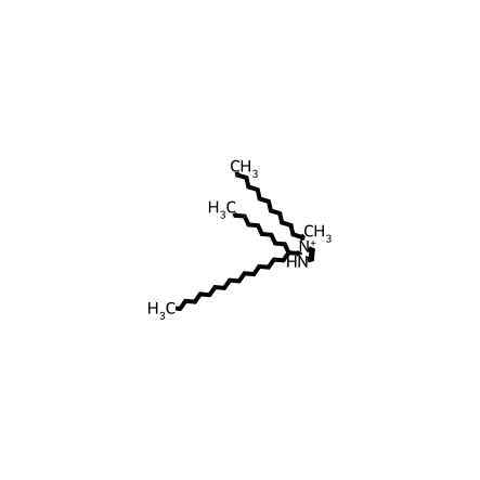 CCCCCCCCCCCCCCCCC(CCCCCCCCC)c1[nH]cc[n+]1C(C)CCCCCCCCCCCC